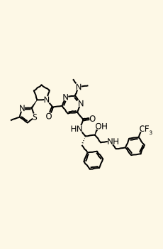 Cc1csc([C@H]2CCCN2C(=O)c2cc(C(=O)N[C@@H](Cc3ccccc3)[C@@H](O)CNCc3cccc(C(F)(F)F)c3)nc(N(C)C)n2)n1